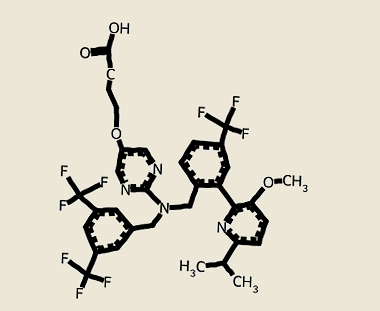 COc1ccc(C(C)C)nc1-c1cc(C(F)(F)F)ccc1CN(Cc1cc(C(F)(F)F)cc(C(F)(F)F)c1)c1ncc(OCCCC(=O)O)cn1